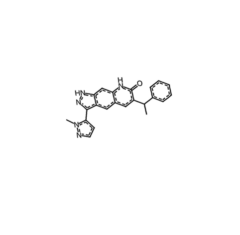 CC(c1ccccc1)c1cc2cc3c(-c4ccnn4C)n[nH]c3cc2[nH]c1=O